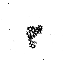 C\N=C1/C=CC=C/C1=C/C=C/C=C/c1ccccc1N(C)CCSSCCN(C)c1ccccc1/C=C/c1ccc2ccccc2[n+]1C